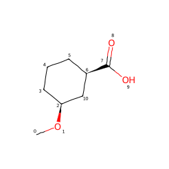 CO[C@H]1CCC[C@@H](C(=O)O)C1